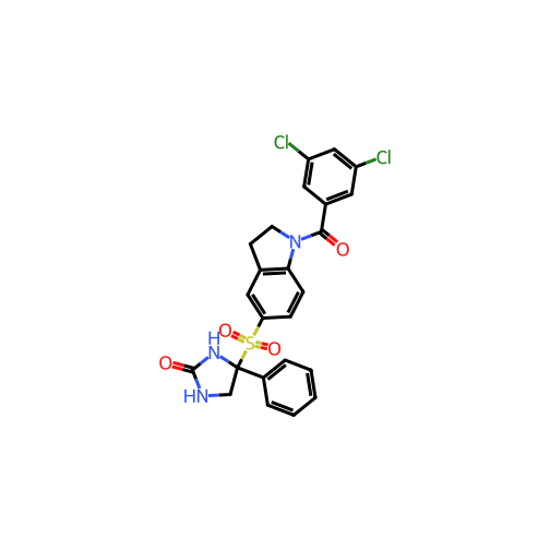 O=C1NCC(c2ccccc2)(S(=O)(=O)c2ccc3c(c2)CCN3C(=O)c2cc(Cl)cc(Cl)c2)N1